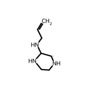 C=CCNC1[CH]NCCN1